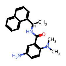 C[C@@H](NC(=O)c1cc(N)ccc1N(C)C)c1cccc2ccccc12